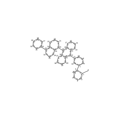 Cc1cccnc1-c1cccc(-c2c3ccccc3c(-c3cccc4c(-c5ccccc5)cccc34)c3ccccc23)c1